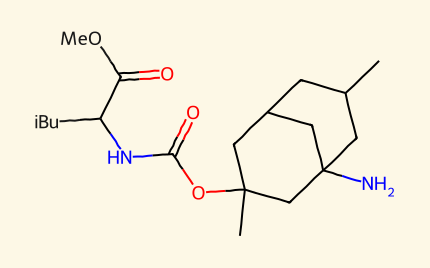 CCC(C)C(NC(=O)OC1(C)CC2CC(C)CC(N)(C2)C1)C(=O)OC